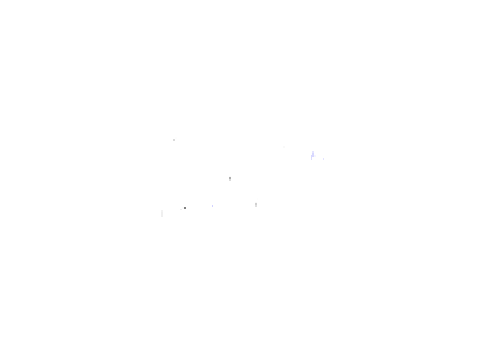 C[C@@H](c1ccccc1)N1CCCc2cc(C(N)=O)ccc21